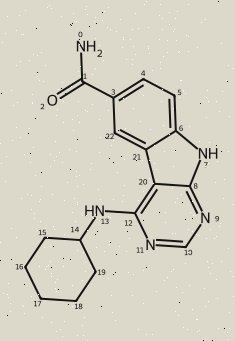 NC(=O)c1ccc2[nH]c3ncnc(NC4CCCCC4)c3c2c1